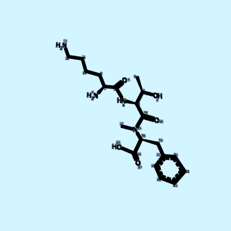 C[C@@H](O)[C@H](NC(=O)[C@@H](N)CCCCN)C(=O)N(C)[C@@H](Cc1ccccc1)C(=O)O